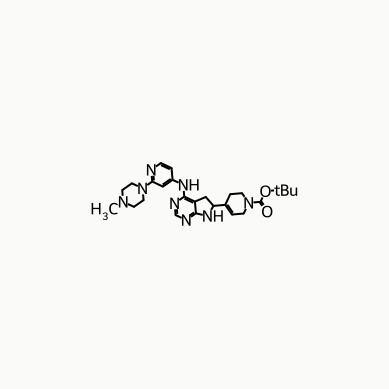 CN1CCN(c2cc(Nc3ncnc4c3CC(C3=CCN(C(=O)OC(C)(C)C)CC3)N4)ccn2)CC1